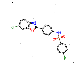 O=S(=O)(Nc1ccc(-c2nc3ccc(Cl)cc3o2)cc1)c1ccc(F)cc1